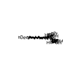 CCCCCCCCCCCCCCCCCCCCCCCCCC(=O)N[C@@H](COC1OC(CO)C(O)=CC1O)[C@H](O)[C@H](O)CCC